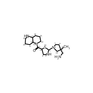 CC1(CN)CCN(C2NCC(C(=O)N3CCCC4NCCCC43)S2)C1